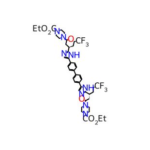 CCOC(=O)N1CCN(C(=O)C[C@@H](CCC(F)(F)F)c2ncc(-c3ccc(-c4ccc(-c5cnc([C@H](CCC(F)(F)F)CC(=O)N6CCN(C(=O)OCC)CC6)[nH]5)cc4)cc3)[nH]2)CC1